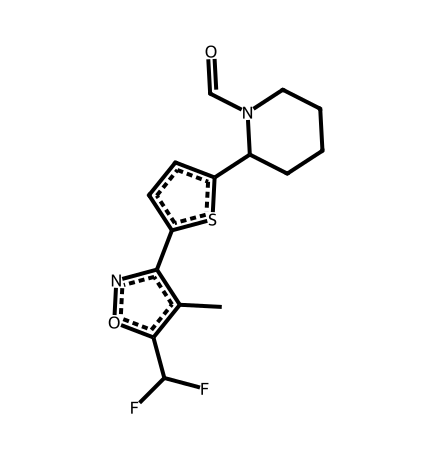 Cc1c(-c2ccc(C3CCCCN3C=O)s2)noc1C(F)F